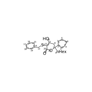 CCCCCCC1(c2ccccc2)CC(O)=C(SCc2ccccc2)C(=O)O1